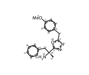 COc1ccc(Cc2nnc([C@](C)(N)Cc3ccccc3)o2)cc1